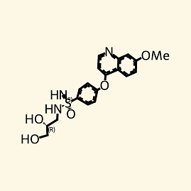 COc1ccc2c(Oc3ccc([S@](=N)(=O)NC[C@@H](O)CO)cc3)ccnc2c1